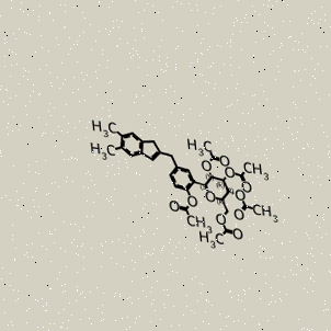 CC(=O)OC[C@H]1O[C@@H](c2cc(CC3=Cc4cc(C)c(C)cc4C3)ccc2OC(C)=O)[C@H](OC(C)=O)[C@@H](OC(C)=O)[C@@H]1OC(C)=O